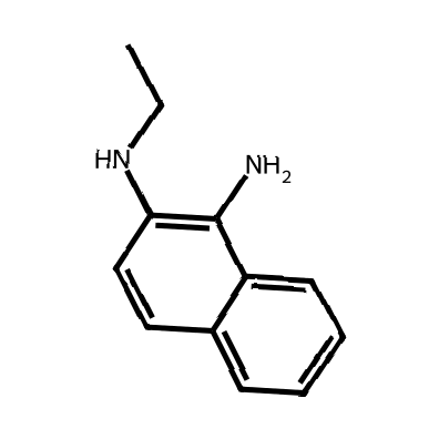 CCNc1ccc2ccccc2c1N